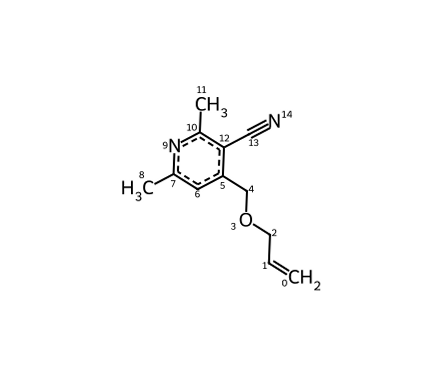 C=CCOCc1cc(C)nc(C)c1C#N